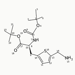 CC(C)(C)OC(=O)N[C@@H](Cc1ccc(CN)s1)C(=O)OC(C)(C)C